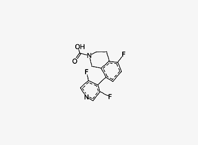 O=C(O)N1CCc2c(F)ccc(-c3c(F)cncc3F)c2C1